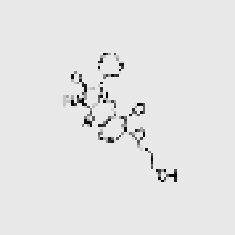 O=C1NC2=Nc3ccc(OCCCO)c(Cl)c3CN2C1c1ccccc1